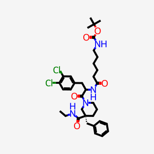 CCNC(=O)[C@]1(Cc2ccccc2)CCCN(C(=O)C(Cc2ccc(Cl)c(Cl)c2)NC(=O)CCCCCNC(=O)OC(C)(C)C)C1